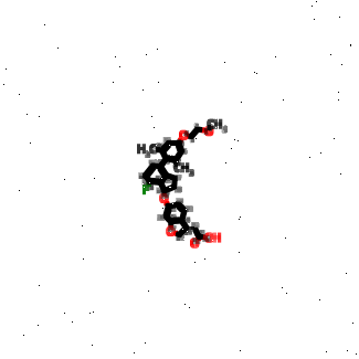 COCCOc1cc(C)c(-c2ccc(F)c3c2CC[C@H]3Oc2ccc3c(c2)OC[C@H]3CC(=O)O)c(C)c1